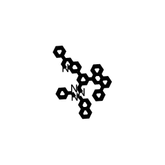 c1ccc(-c2cnc3cc(-c4cc(-c5nc(-c6ccccc6)nc(-c6ccc7ccccc7c6)n5)cc(-c5cc6c(-c7ccccc7)cccc6c6ccccc56)c4)ccc3c2)cc1